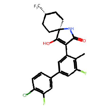 Cc1c(F)cc(-c2ccc(Cl)c(F)c2)cc1C1=C(O)[C@]2(CC[C@@H](C(F)(F)F)CC2)NC1=O